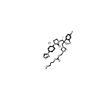 COCCCOC(=O)OCN1[C+]=NN(C[C@@](O)(c2ccc(F)cc2F)[C@@H](C)N2CCN(c3ccc(-n4cnnn4)cc3)C2=O)C1.[Cl-]